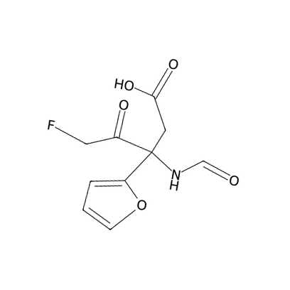 O=CNC(CC(=O)O)(C(=O)CF)c1ccco1